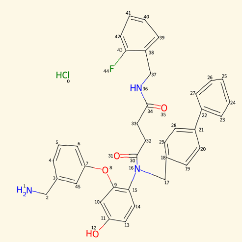 Cl.NCc1cccc(Oc2cc(O)ccc2N(Cc2ccc(-c3ccccc3)cc2)C(=O)CCC(=O)NCc2ccccc2F)c1